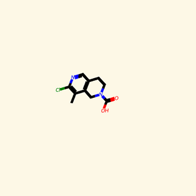 Cc1c(Cl)ncc2c1CN(C(=O)O)CC2